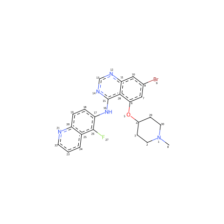 CN1CCC(Oc2cc(Br)cc3ncnc(Nc4ccc5ncccc5c4F)c23)CC1